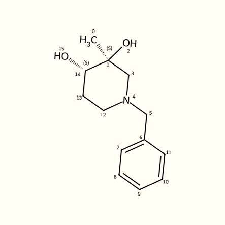 C[C@]1(O)CN(Cc2ccccc2)CC[C@@H]1O